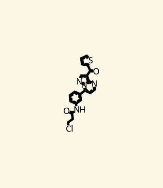 O=C(CCCl)Nc1cccc(-c2ccnc3c(C(=O)c4cccs4)cnn23)c1